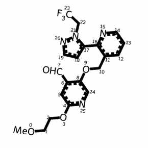 COCCOc1cc(C=O)c(OCc2cccnc2-c2ccnn2CC(F)(F)F)cn1